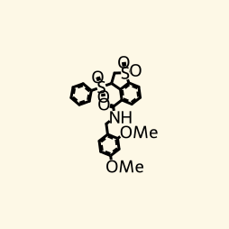 COc1ccc(CNC(=O)c2cccc3c2C(S(=O)(=O)c2ccccc2)CS3(=O)=O)c(OC)c1